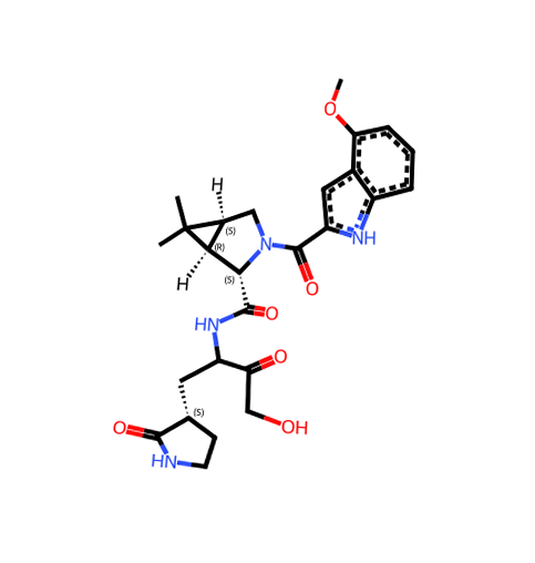 COc1cccc2[nH]c(C(=O)N3C[C@H]4[C@@H]([C@H]3C(=O)NC(C[C@@H]3CCNC3=O)C(=O)CO)C4(C)C)cc12